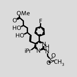 COC(=O)CC(O)CC(O)C=Cc1c(-c2ccc(F)cc2)nc(NCS(C)(=O)=O)nc1C(C)C